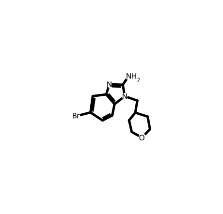 Nc1nc2cc(Br)ccc2n1CC1CCOCC1